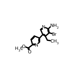 CCc1c(-c2ccc(C(=O)OC)nc2)cnc(N)c1Br